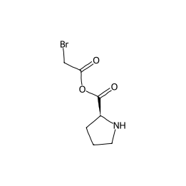 O=C(CBr)OC(=O)[C@@H]1CCCN1